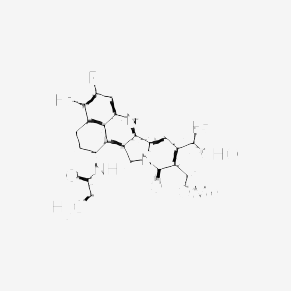 C=CC(=O)N[C@@H]1CCc2c(CC)c(F)cc3nc4c(c1c23)Cn1c-4cc(C(C=O)CC)c(COC)c1=O